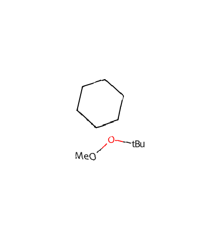 C1CCCCC1.COOC(C)(C)C